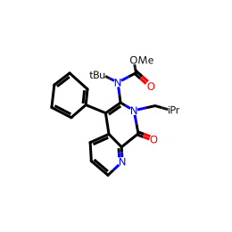 COC(=O)N(c1c(-c2ccccc2)c2cccnc2c(=O)n1CC(C)C)C(C)(C)C